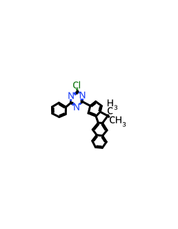 CC1(C)c2ccc(-c3nc(Cl)nc(-c4ccccc4)n3)cc2-c2cc3ccccc3cc21